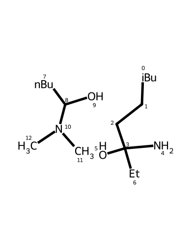 CCC(C)CCC(N)(O)CC.CCCCC(O)N(C)C